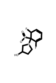 O=[N+]([O-])C1(N2CCC(O)C2)C(F)=CC=CC1F